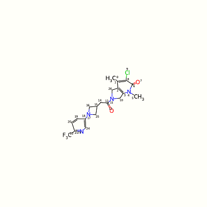 Cc1c2c(n(C)c(=O)c1Cl)CN(C(=O)CC1CN(c3ccc(C(F)(F)F)nc3)C1)C2